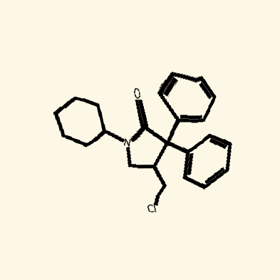 O=C1N(C2CCCCC2)CC(CCl)C1(c1ccccc1)c1ccccc1